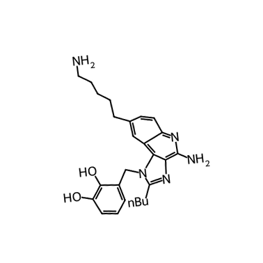 CCCCc1nc2c(N)nc3ccc(CCCCCN)cc3c2n1Cc1cccc(O)c1O